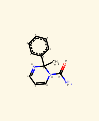 CC1(c2ccccc2)N=CC=CN1C(N)=O